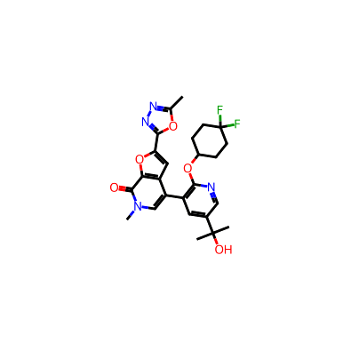 Cc1nnc(-c2cc3c(-c4cc(C(C)(C)O)cnc4OC4CCC(F)(F)CC4)cn(C)c(=O)c3o2)o1